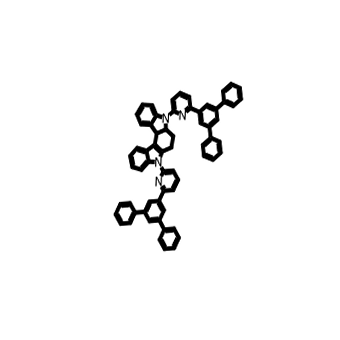 c1ccc(-c2cc(-c3ccccc3)cc(-c3cccc(N4c5ccccc5C5c6c(n(-c7cccc(-c8cc(-c9ccccc9)cc(-c9ccccc9)c8)n7)c7ccccc67)CCC54)n3)c2)cc1